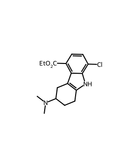 CCOC(=O)c1ccc(Cl)c2[nH]c3c(c12)CC(N(C)C)CC3